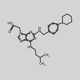 CC(C)CCNc1nc(NCc2ccc(C3CCCCC3)cc2)nc2c1ncn2CC(=O)O